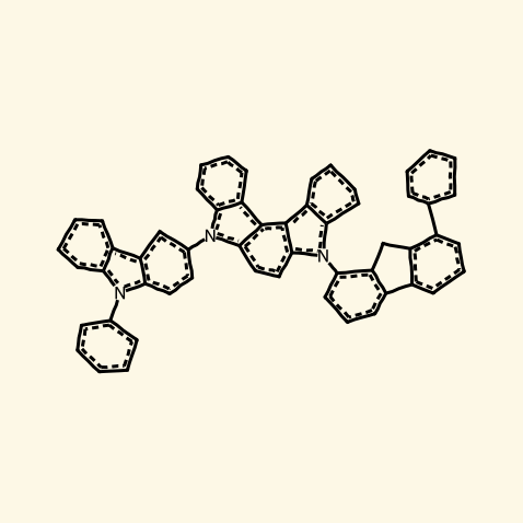 c1ccc(-c2cccc3c2Cc2c-3cccc2-n2c3ccccc3c3c4c5ccccc5n(-c5ccc6c(c5)c5ccccc5n6-c5ccccc5)c4ccc32)cc1